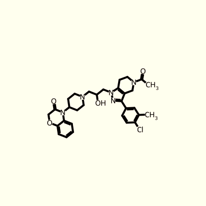 CC(=O)N1CCc2c(c(-c3ccc(Cl)c(C)c3)nn2CC(O)CN2CCC(N3C(=O)COc4ccccc43)CC2)C1